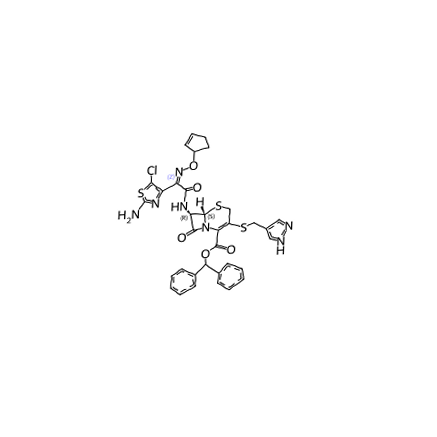 Nc1nc(/C(=N/OC2C=CCC2)C(=O)N[C@@H]2C(=O)N3C(C(=O)OC(c4ccccc4)c4ccccc4)=C(SCc4cn[nH]c4)CS[C@@H]23)c(Cl)s1